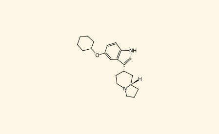 c1cc2[nH]cc([C@H]3CCN4CCC[C@H]4C3)c2cc1OC1CCCCC1